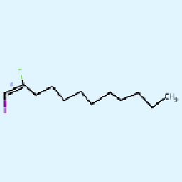 CCCCCCCCCC/C(F)=C\I